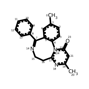 Cc1ccc2c(c1)C(c1ccccc1)=NCCc1nc(C)cc(=O)n1-2